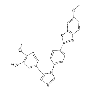 COc1ccc2nc(-c3ccc(-n4cncc4-c4ccc(OC)c(N)c4)cc3)sc2c1